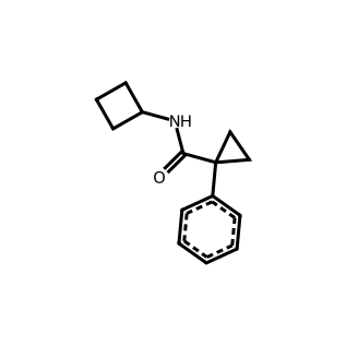 O=C(NC1CCC1)C1(c2ccccc2)CC1